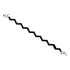 CC/[C]=C/CCCCCCCCCCCCCC